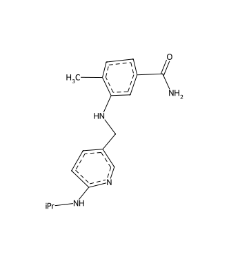 Cc1ccc(C(N)=O)cc1NCc1ccc(NC(C)C)nc1